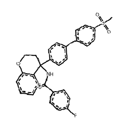 CS(=O)(=O)c1ccc(-c2ccc(C3(NC(=O)c4ccc(F)cc4)CCOc4cccnc43)cc2)cc1